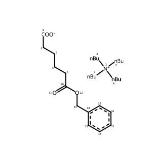 CCCC[N+](CCCC)(CCCC)CCCC.O=C([O-])CCCCC(=O)OCc1ccccc1